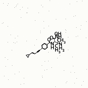 CC(C)(N)[C@H](NC(=O)c1ccc(C#CC=CC2CC2)cc1)C(=O)NO